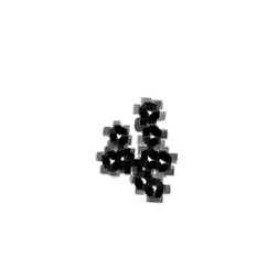 c1ccc(-c2nc(-n3c4ccc5ccccc5c4c4c5ccccc5c(-c5ccc6c(c5)oc5ccccc56)cc43)nc3ccccc23)cc1